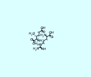 N=C(N)NCCCC(N)C(=O)O.NC(CSCC(=O)O)C(=O)O.O